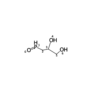 O=[PH]CC(O)CO